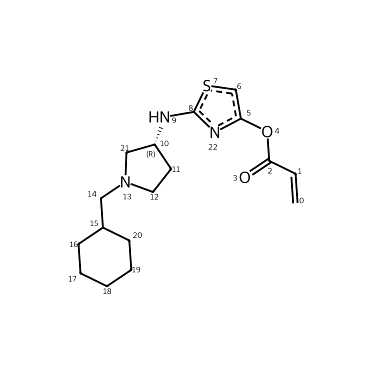 C=CC(=O)Oc1csc(N[C@@H]2CCN(CC3CCCCC3)C2)n1